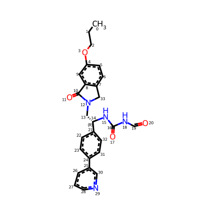 CCCOc1ccc2c(c1)C(=O)N(C[C@H](NC(=O)NC=O)c1ccc(-c3cccnc3)cc1)C2